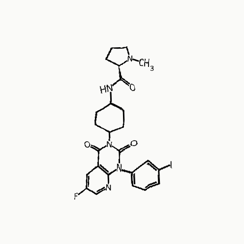 CN1CCC[C@@H]1C(=O)NC1CCC(n2c(=O)c3cc(F)cnc3n(-c3cccc(I)c3)c2=O)CC1